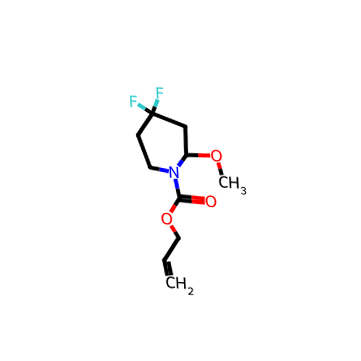 C=CCOC(=O)N1CCC(F)(F)CC1OC